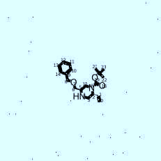 C=C[C@@H]1CN[C@@H](COCc2ccccc2)CN1C(=O)OC(C)(C)C